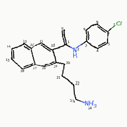 C=C(Nc1ccc(Cl)cc1)c1cc2ccccc2cc1CCCCN